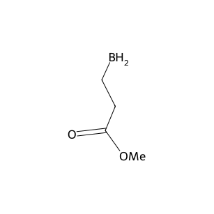 BCCC(=O)OC